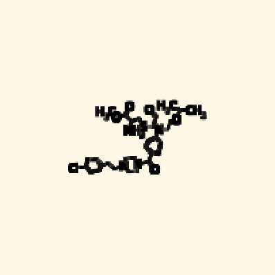 COC(=O)C(N)CSC(C=O)N(CCOC(C)C)c1ccc(C(=O)N2CCN(CCc3ccc(Cl)cc3)CC2)cc1